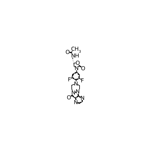 CC(=O)NC[C@H]1CN(c2cc(F)c(N3CCn4c(=O)c5nccnc5n4CC3)c(F)c2)C(=O)O1